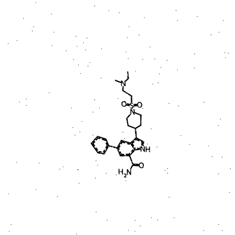 CCN(C)CCS(=O)(=O)N1CCC(c2c[nH]c3c(C(N)=O)cc(-c4ccccc4)cc23)CC1